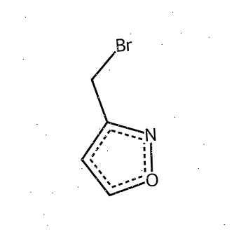 BrCc1ccon1